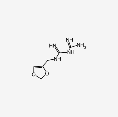 N=C(N)NC(=N)NCC1=COCO1